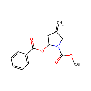 C=C1CC(OC(=O)c2ccccc2)N(C(=O)OC(C)(C)C)C1